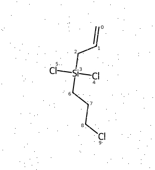 C=CC[Si](Cl)(Cl)CCCCl